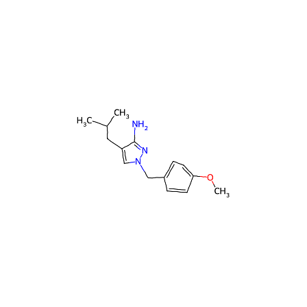 COc1ccc(Cn2cc(CC(C)C)c(N)n2)cc1